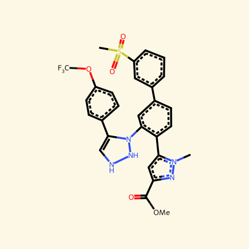 COC(=O)c1cc(-c2ccc(-c3cccc(S(C)(=O)=O)c3)cc2N2NNC=C2c2ccc(OC(F)(F)F)cc2)n(C)n1